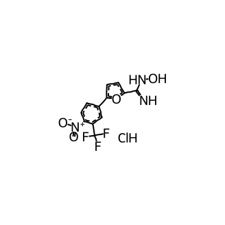 Cl.N=C(NO)c1ccc(-c2ccc([N+](=O)[O-])c(C(F)(F)F)c2)o1